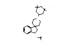 CC(=O)N[C@H]1CC2(CCN(C3CC(C)(C)CC(C)(C)C3)CC2)c2ccccc21